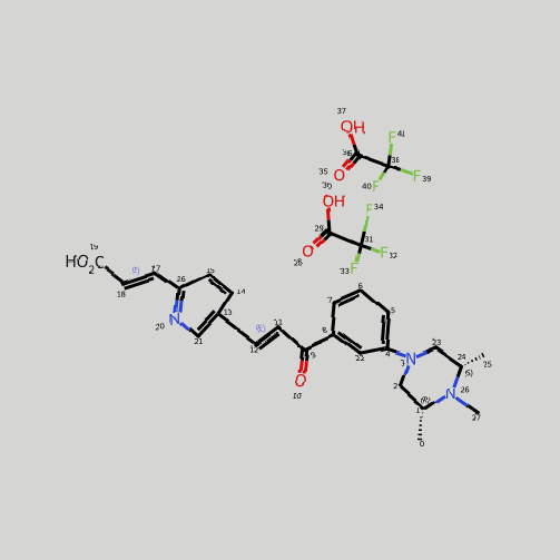 C[C@@H]1CN(c2cccc(C(=O)/C=C/c3ccc(/C=C/C(=O)O)nc3)c2)C[C@H](C)N1C.O=C(O)C(F)(F)F.O=C(O)C(F)(F)F